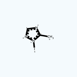 Cc1ncnn1I